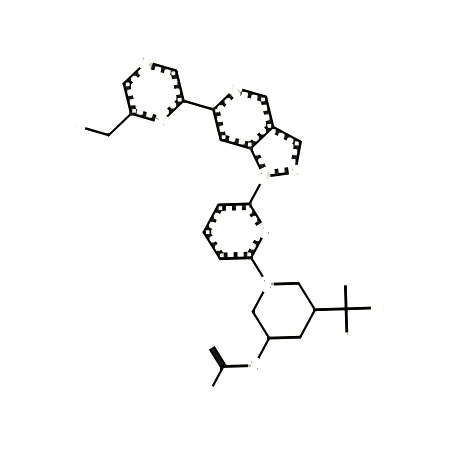 CCc1cncc(-c2cc3c(cn2)cnn3-c2cccc(N3CC(NC(=O)O)CC(C(C)(C)C)C3)n2)n1